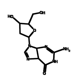 NC1=NC2C(N=CN2C2CC(O)C(CO)O2)C(=O)N1